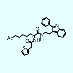 CC(=O)CCCCC[C@H](NC(=O)Cc1cccs1)C(=O)NCCC1=C2CC=CC=C2N=C1c1ccccc1